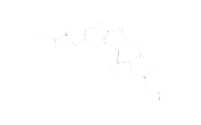 CCNC(=S)Nc1ccc2[nH]c3cnc(OC(=O)OC(C)C)c(CC)c3c2c1